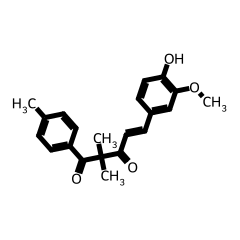 COc1cc(C=CC(=O)C(C)(C)C(=O)c2ccc(C)cc2)ccc1O